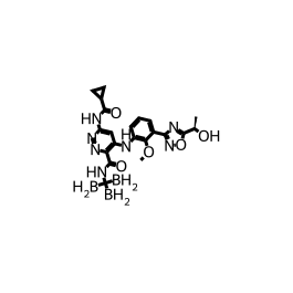 BC(B)(B)NC(=O)c1nnc(NC(=O)C2CC2)cc1Nc1cccc(-c2noc([C@@H](C)O)n2)c1OC